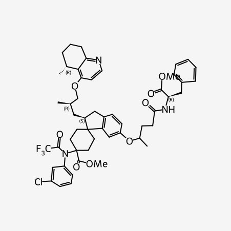 COC(=O)[C@@H](Cc1ccccc1)NC(=O)CCC(C)Oc1ccc2c(c1)C1(CCC(C(=O)OC)(N(C(=O)C(F)(F)F)c3cccc(Cl)c3)CC1)[C@@H](C[C@@H](C)COc1ccnc3c1[C@H](C)CCC3)C2